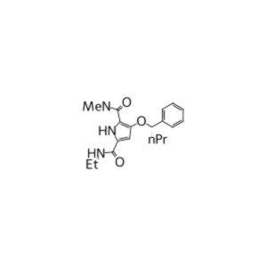 CCC[C@H](Oc1cc(C(=O)NCC)[nH]c1C(=O)NC)c1ccccc1